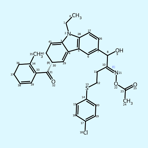 CCn1c2c(c3cc(C(O)/C(CCSc4ccc(Cl)cc4)=N/OC(C)=O)ccc31)=C[C@H](C(=O)C1=C(C)CCC=C1)CC=2